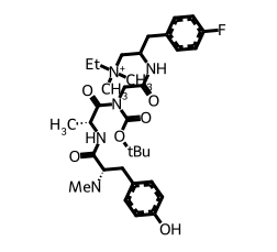 CC[N+](C)(C)CC(Cc1ccc(F)cc1)NC(=O)CN(C(=O)OC(C)(C)C)C(=O)[C@@H](C)NC(=O)[C@H](Cc1ccc(O)cc1)NC